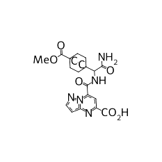 COC(=O)C12CCC(C(NC(=O)c3cc(C(=O)O)nc4ccnn34)C(N)=O)(CC1)CC2